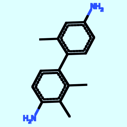 Cc1cc(N)ccc1-c1ccc(N)c(C)c1C